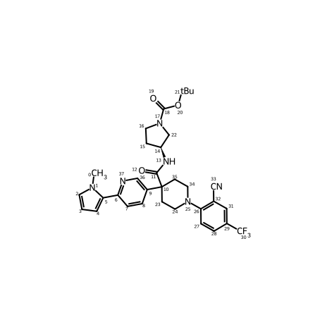 Cn1cccc1-c1ccc(C2(C(=O)N[C@H]3CCN(C(=O)OC(C)(C)C)C3)CCN(c3ccc(C(F)(F)F)cc3C#N)CC2)cn1